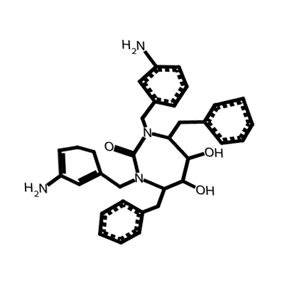 NC1=CCCC(CN2C(=O)N(Cc3cccc(N)c3)C(Cc3ccccc3)C(O)C(O)C2Cc2ccccc2)=C1